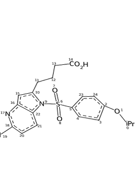 CC(C)Oc1ccc(S(=O)(=O)n2c(CCCC(=O)O)cc3nc(Cl)ccc32)cc1